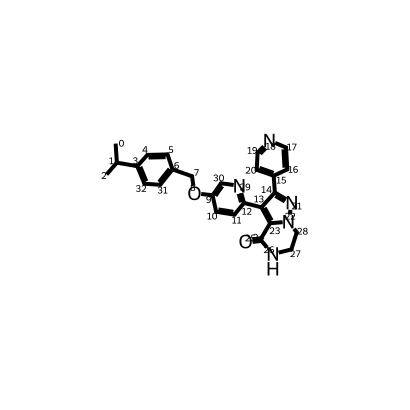 CC(C)c1ccc(COc2ccc(-c3c(-c4ccncc4)nn4c3C(=O)NCC4)nc2)cc1